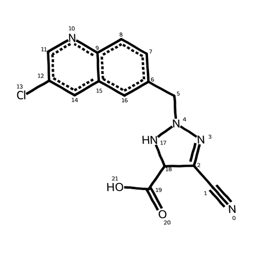 N#CC1=NN(Cc2ccc3ncc(Cl)cc3c2)NC1C(=O)O